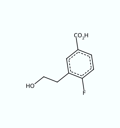 O=C(O)c1ccc(F)c(CCO)c1